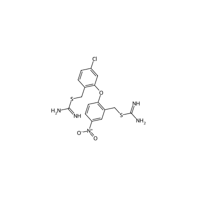 N=C(N)SCc1cc([N+](=O)[O-])ccc1Oc1cc(Cl)ccc1CSC(=N)N